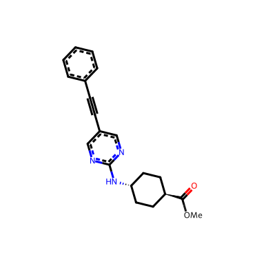 COC(=O)[C@H]1CC[C@H](Nc2ncc(C#Cc3ccccc3)cn2)CC1